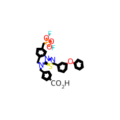 O=C(O)c1ccc(CN(Cc2ccc(CP(=O)(OF)OF)cc2)c2nnc(-c3cccc(Oc4ccccc4)c3)s2)cc1